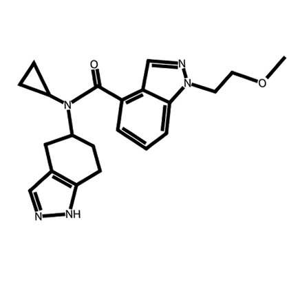 COCCn1ncc2c(C(=O)N(C3CC3)C3CCc4[nH]ncc4C3)cccc21